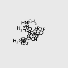 CC1CN(C(=O)Oc2nc(=O)n(-c3c(OCCO[Si](C)(C)C(C)(C)C)ccnc3Cl)c3nc(-c4c(F)ccc(F)c4O)c(F)cc23)C(C)CN1